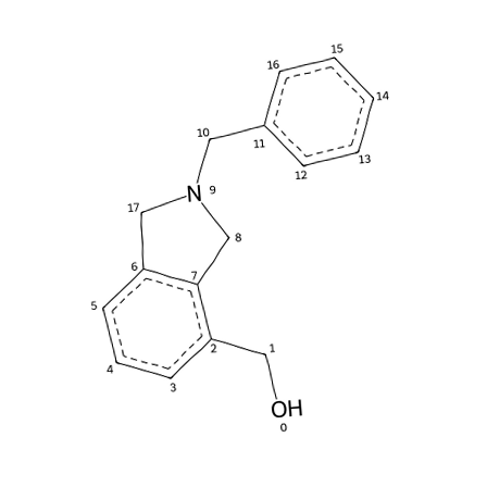 OCc1cccc2c1CN(Cc1ccccc1)C2